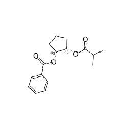 CC(C)C(=O)O[C@H]1CCC[C@H]1OC(=O)c1ccccc1